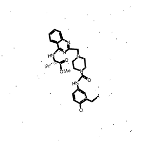 COC(=O)[C@@H](Nc1nc(CN2CCN(C(=O)Nc3ccc(Cl)c(CI)c3)CC2)nc2ccccc12)C(C)C